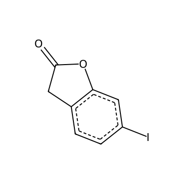 O=C1Cc2ccc(I)cc2O1